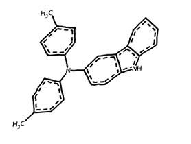 Cc1ccc(N(c2ccc(C)cc2)c2ccc3[nH]c4ccccc4c3c2)cc1